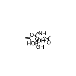 C=C(C)OC(=O)C=N.COC(C)=O.OB(O)O